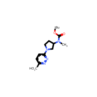 CN(C(=O)OC(C)(C)C)C1CCN(c2ccc(C(=O)O)nn2)C1